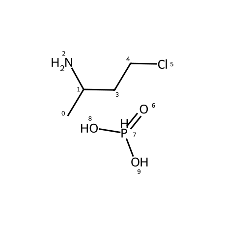 CC(N)CCCl.O=[PH](O)O